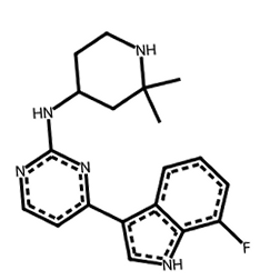 CC1(C)CC(Nc2nccc(-c3c[nH]c4c(F)cccc34)n2)CCN1